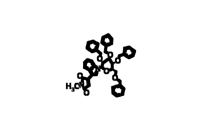 CN1C(=O)C=C(c2cn([C@@H]3O[C@H](COCc4ccccc4)[C@@H](OCc4ccccc4)[C@H](OCc4ccccc4)[C@H]3OCc3ccccc3)c3ccccc23)C1=O